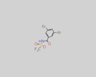 O=C(NS(=O)(=O)C(F)(F)F)c1cc(Br)cc(Br)c1